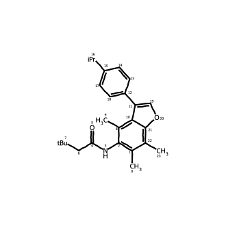 Cc1c(NC(=O)CC(C)(C)C)c(C)c2c(-c3ccc(C(C)C)cc3)coc2c1C